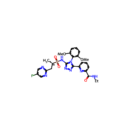 CCNC(=O)c1cccc(-c2nnc(NS(=O)(=O)[C@H](C)Cc3ncc(F)cn3)n2-c2c(OC)cccc2OC)n1